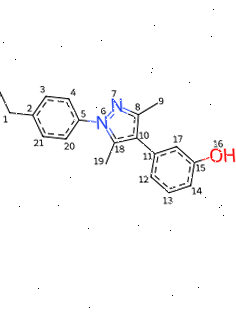 [CH2]Cc1ccc(-n2nc(C)c(-c3cccc(O)c3)c2C)cc1